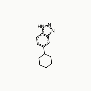 c1cc2[nH]nnc2cc1C1CCCCC1